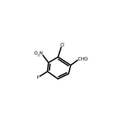 O=Cc1ccc(F)c([N+](=O)[O-])c1Cl